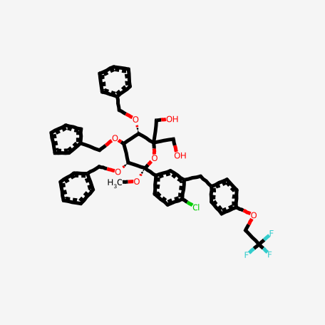 CO[C@@]1(c2ccc(Cl)c(Cc3ccc(OCC(F)(F)F)cc3)c2)OC(CO)(CO)[C@@H](OCc2ccccc2)C(OCc2ccccc2)[C@H]1OCc1ccccc1